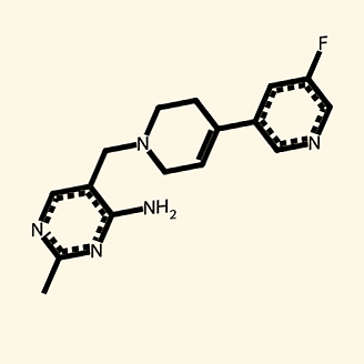 Cc1ncc(CN2CC=C(c3cncc(F)c3)CC2)c(N)n1